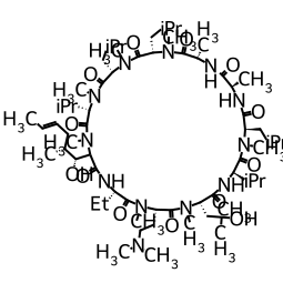 C/C=C/C[C@@H](C)[C@@H](O)C1C(=O)N[C@@H](CC)C(=O)N(C)[C@@H](CCN(C)C)C(=O)N(C)[C@@H](CC(C)(C)O)C(=O)N[C@H](C(C)C)C(=O)N(C)[C@H](CC(C)C)C(=O)N[C@H](C)C(=O)N[C@@H](C)C(=O)N(C)[C@@H](CC(C)C)C(=O)N(C)[C@@H](CC(C)C)C(=O)N(C)[C@@H](C(C)C)C(=O)N1C